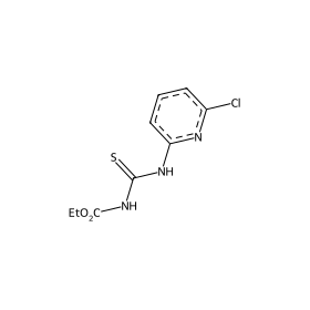 CCOC(=O)NC(=S)Nc1cccc(Cl)n1